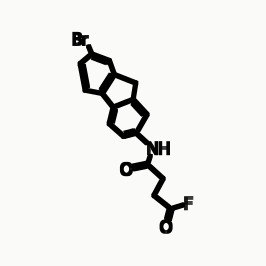 O=C(F)CCC(=O)Nc1ccc2c(c1)Cc1cc(Br)ccc1-2